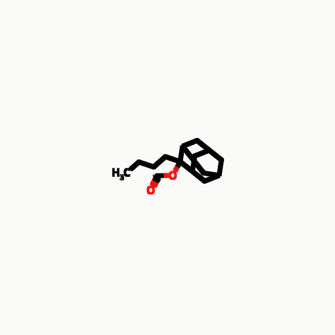 CCCCC1(O[C]=O)C2CC3CC(C2)CC1C3